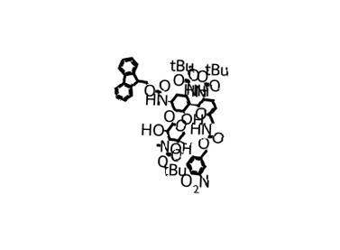 CN(C(=O)OC(C)(C)C)[C@@H]1[C@@H](O)[C@@H](O[C@@H]2[C@@H](O)[C@H](C3OC(CNC(=O)OCc4ccc([N+](=O)[O-])cc4)=CC[C@H]3NC(=O)OC(C)(C)C)[C@@H](NC(=O)OC(C)(C)C)C[C@H]2NC(=O)OCC2c3ccccc3-c3ccccc32)OC[C@]1(C)O